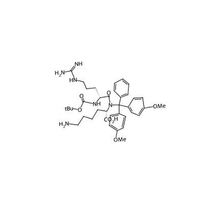 COc1ccc(C(c2ccccc2)(c2ccc(OC)cc2)N(C(=O)[C@@H](CCCNC(=N)N)NC(=O)OC(C)(C)C)[C@@H](CCCCN)C(=O)O)cc1